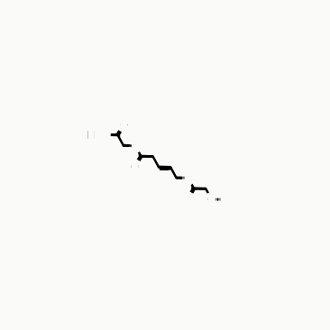 COCC(=O)OCC=CCC(=O)OCC(C)=O